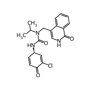 CC(C)N(Cc1c[nH]c(=O)c2ccccc12)C(=O)N[C@@H]1C=CC(=O)C(Cl)=C1